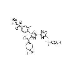 CC[C@@H](C)NS(=O)(=O)c1ccc(-c2sc(-c3noc(CC(C)(C)C(=O)O)n3)nc2C(=O)N2CCC(F)(F)CC2)c(C)c1